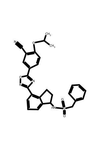 CC(C)Oc1ccc(-c2nc(-c3cccc4c3CCC4NS(=O)(=O)Cc3ccccc3)no2)cc1C#N